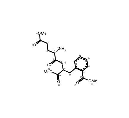 COC(=O)CC[C@H](N)C(=O)N[C@@H](Cc1ccccc1C(=O)OC)C(=O)OC